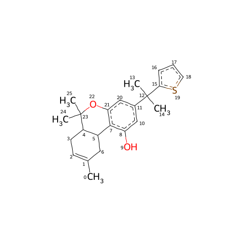 CC1=CCC2C(C1)c1c(O)cc(C(C)(C)c3cccs3)cc1OC2(C)C